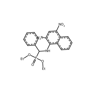 CCOP(=O)(OCC)C(Nc1c(N)cc([N+](=O)[O-])c2ccccc12)c1ccccc1